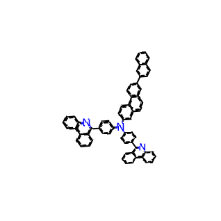 c1ccc2cc(-c3ccc4c(ccc5cc(N(c6ccc(-c7nc8ccccc8c8ccccc78)cc6)c6ccc(-c7nc8ccccc8c8ccccc78)cc6)ccc54)c3)ccc2c1